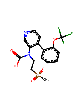 CS(=O)(=O)CCN(C(=O)O)c1cnccc1-c1ccccc1OC(F)(F)F